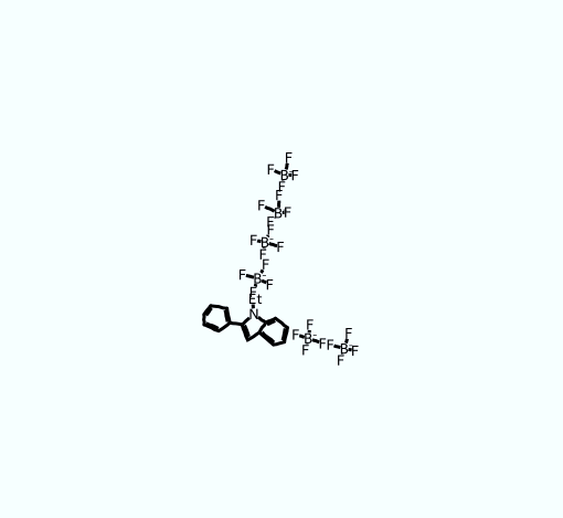 CCn1c(-c2ccccc2)cc2ccccc21.F[B-](F)(F)F.F[B-](F)(F)F.F[B-](F)(F)F.F[B-](F)(F)F.F[B-](F)(F)F.F[B-](F)(F)F